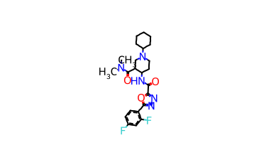 CN(C)C(=O)C1CN(C2CCCCC2)CCC1NC(=O)c1nnc(-c2ccc(F)cc2F)o1